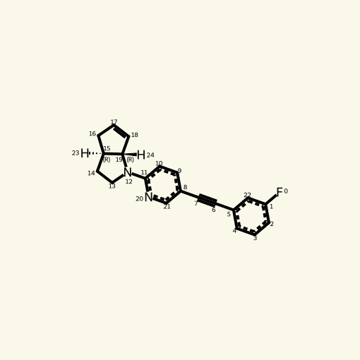 Fc1cccc(C#Cc2ccc(N3CC[C@H]4CC=C[C@@H]43)nc2)c1